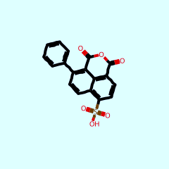 O=C1OC(=O)c2c(-c3ccccc3)ccc3c(S(=O)(=O)O)ccc1c23